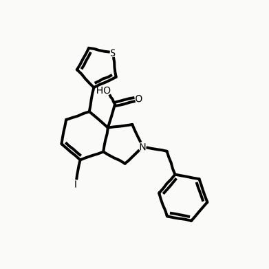 O=C(O)C12CN(Cc3ccccc3)CC1C(I)=CCC2c1ccsc1